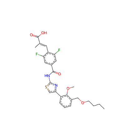 CCCCOCc1cccc(-c2csc(NC(=O)c3cc(F)c(/C=C(\C)C(=O)O)c(F)c3)n2)c1OC